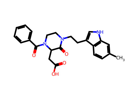 Cc1ccc2c(CCN3CCN(C(=O)c4ccccc4)C(CC(=O)O)C3=O)c[nH]c2c1